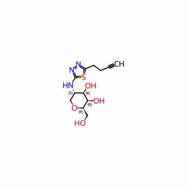 C#CCCc1nnc(N[C@H]2CO[C@H](CO)[C@H](O)[C@@H]2O)s1